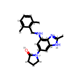 Cc1nc2c(NCc3c(C)cccc3C)cc(N3CCCC3=O)cc2[nH]1